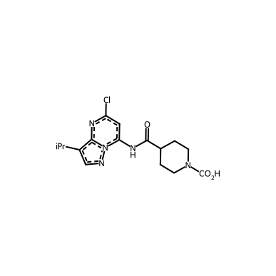 CC(C)c1cnn2c(NC(=O)C3CCN(C(=O)O)CC3)cc(Cl)nc12